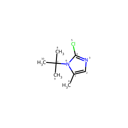 Cc1cnc(Cl)n1C(C)(C)C